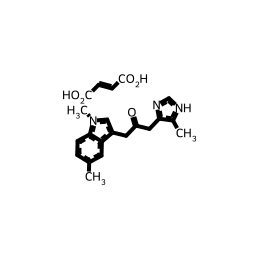 Cc1ccc2c(c1)c(CC(=O)Cc1nc[nH]c1C)cn2C.O=C(O)C=CC(=O)O